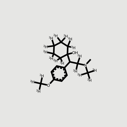 [2H]C([2H])([2H])Oc1ccc(C(C([2H])([2H])N(C)C([2H])([2H])[2H])C2(O)C([2H])([2H])C([2H])([2H])C([2H])([2H])C([2H])([2H])C2([2H])[2H])cc1